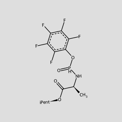 CCC[C@H](C)OC(=O)[C@H](C)N[PH](=O)Oc1c(F)c(F)c(F)c(F)c1F